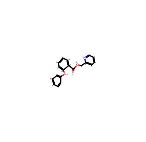 O=C(OCc1ccccn1)c1ccccc1Oc1ccccc1